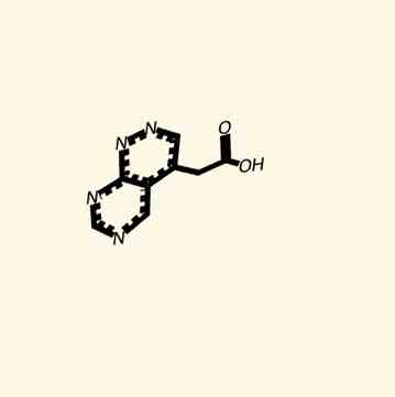 O=C(O)Cc1cnnc2ncncc12